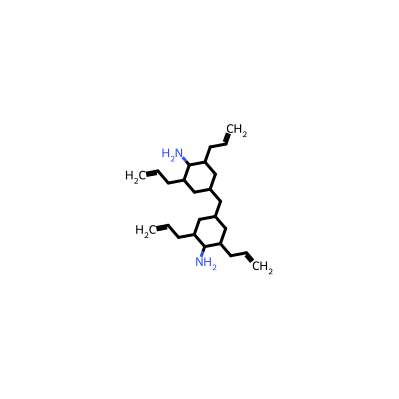 C=CCC1CC(CC2CC(CC=C)C(N)C(CC=C)C2)CC(CC=C)C1N